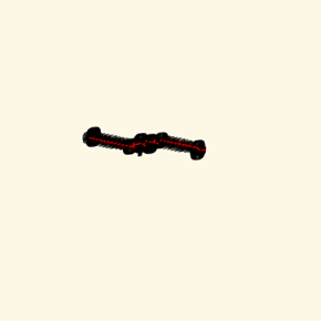 C=CC(=O)OCCCCCCCCCCCCCCCCCCCOc1ccc(C(=O)Oc2ccc(OC(=O)c3ccc(OCCCCCCCCCCCCCCCCCCCOC(=O)C=C)cc3)c(F)c2)cc1